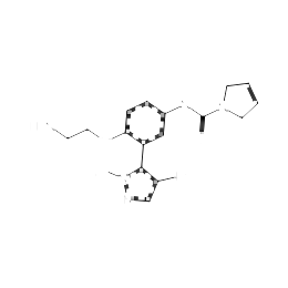 Cn1ncc(Br)c1-c1cc(NC(=O)N2CC=CC2)ccc1OCCN